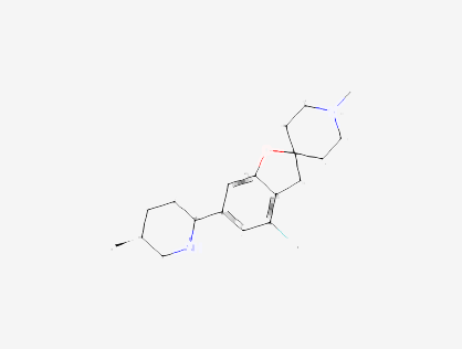 C[C@H]1CCC(c2cc(F)c3c(c2)OC2(CCN(C)CC2)C3)NC1